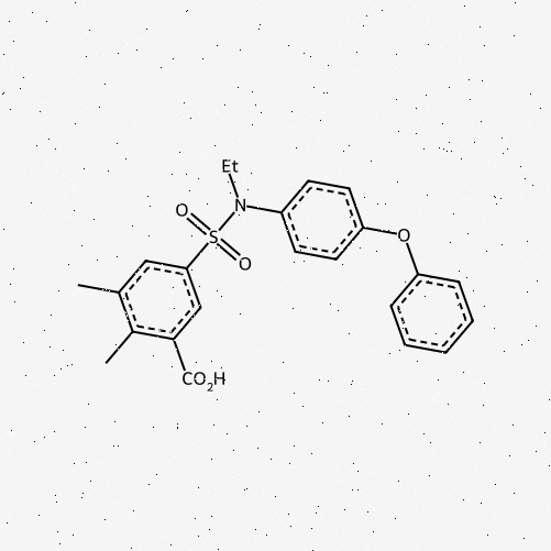 CCN(c1ccc(Oc2ccccc2)cc1)S(=O)(=O)c1cc(C)c(C)c(C(=O)O)c1